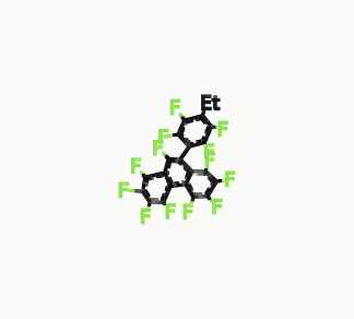 CCc1c(F)c(F)c(-c2c(F)c3c(F)c(F)c(F)c(F)c3c3c(F)c(F)c(F)c(F)c23)c(F)c1F